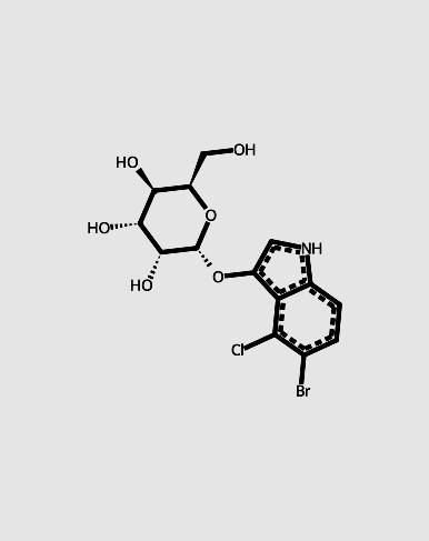 OC[C@H]1O[C@H](Oc2c[nH]c3ccc(Br)c(Cl)c23)[C@H](O)[C@H](O)[C@H]1O